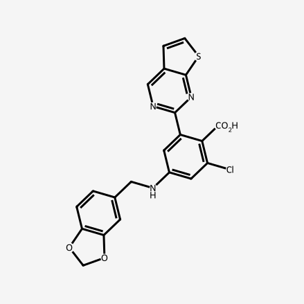 O=C(O)c1c(Cl)cc(NCc2ccc3c(c2)OCO3)cc1-c1ncc2ccsc2n1